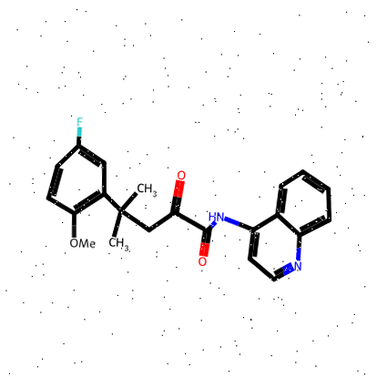 COc1ccc(F)cc1C(C)(C)CC(=O)C(=O)Nc1ccnc2ccccc12